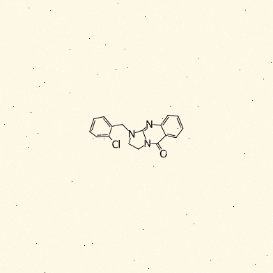 O=c1c2ccccc2nc2n1CCN2Cc1ccccc1Cl